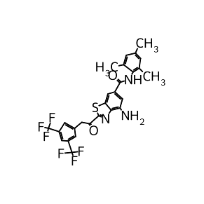 Cc1cc(C)c(NC(=O)c2cc(N)c3nc(C(=O)Cc4cc(C(F)(F)F)cc(C(F)(F)F)c4)sc3c2)c(C)c1